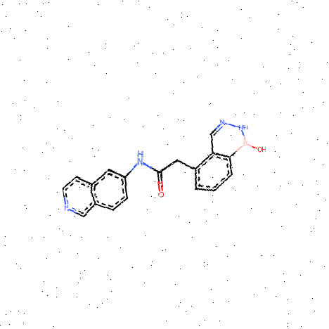 O=C(Cc1cccc2c1C=NNB2O)Nc1ccc2cnccc2c1